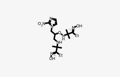 CC/C(=N\O)C(C)(C)NCC(Cn1ccnc1[N+](=O)[O-])ONC(C)(C)/C(CC)=N/O